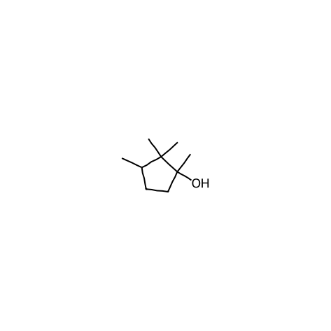 CC1CCC(C)(O)C1(C)C